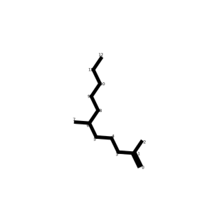 C=C(C)CCCC(C)CCCCC